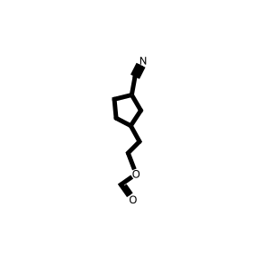 N#CC1CCC(CCOC=O)C1